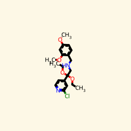 CCOC(CNCc1ccc(OC)cc1OC)(OCC)c1ccnc(Cl)c1